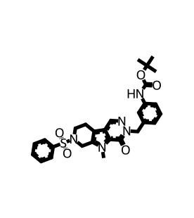 Cn1c2c(c3cnn(Cc4cccc(NC(=O)OC(C)(C)C)c4)c(=O)c31)CCN(S(=O)(=O)c1ccccc1)C2